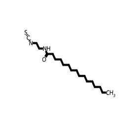 CCCCCCCCCCCCCCCC(=O)NCCN=C=S